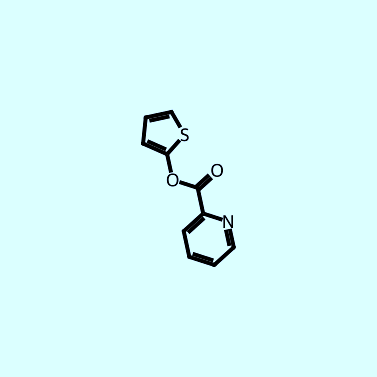 O=C(Oc1cccs1)c1ccccn1